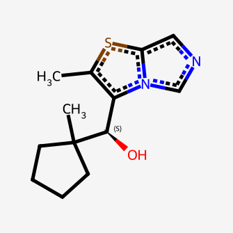 Cc1sc2cncn2c1[C@@H](O)C1(C)CCCC1